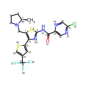 C[C@@H]1CCCN1Cc1sc(NC(=O)c2cnc(Cl)cn2)nc1-c1cc(C(F)(F)F)cs1